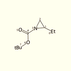 CCC1CN1C(=O)OC(C)(C)C